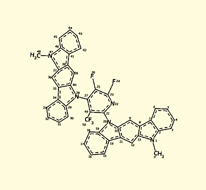 Cn1c2ccccc2c2cc3c(cc21)c1ccccc1n3-c1nc(F)c(F)c(-n2c3ccccc3c3cc4c(cc32)c2ccccc2n4C)c1C(F)(F)F